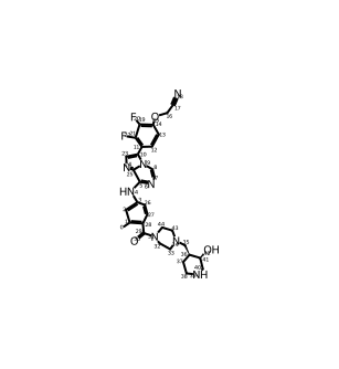 Cc1cc(Nc2nccn3c(-c4ccc(OCC#N)c(F)c4F)cnc23)ccc1C(=O)N1CCN(C[C@@H]2CCNC[C@@H]2O)CC1